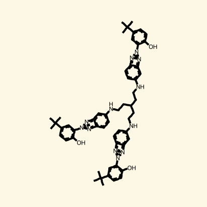 CC(C)(C)c1ccc(O)c(-n2n3c4ccc(NCCC(CCNc5ccc6c(c5)n5n(-c7cc(C(C)(C)C)ccc7O)n65)CCNc5ccc6c(c5)n5n(-c7cc(C(C)(C)C)ccc7O)n65)cc4n23)c1